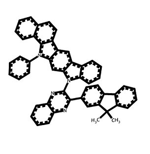 CC1(C)c2ccccc2-c2ccc(-c3nc4ccccc4nc3-n3c4ccccc4c4cc5c6ccc7ccccc7c6n(-c6ccccc6)c5cc43)cc21